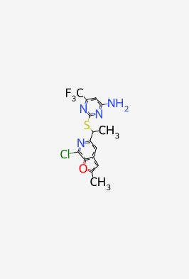 Cc1cc2cc(C(C)Sc3nc(N)cc(C(F)(F)F)n3)nc(Cl)c2o1